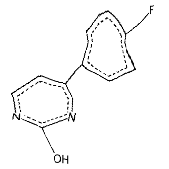 Oc1nccc(-c2ccc(F)cc2)n1